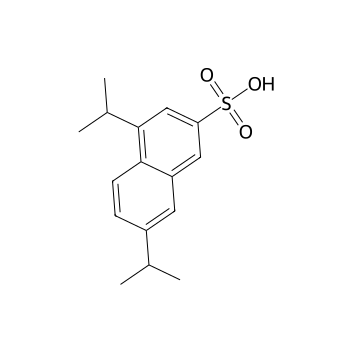 CC(C)c1ccc2c(C(C)C)cc(S(=O)(=O)O)cc2c1